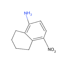 Nc1ccc([N+](=O)[O-])c2c1CCCC2